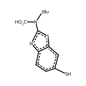 CC(C)(C)N(C(=O)O)c1nc2ccc(S)cc2s1